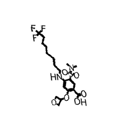 CN(C)S(=O)(=O)c1cc(C(=O)O)c(OC2COC2)cc1NCCCCCCCC(F)(F)F